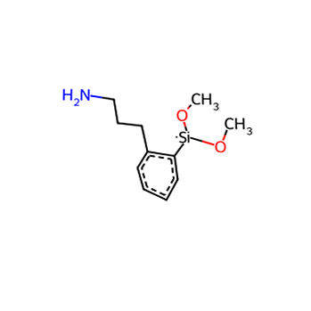 CO[Si](OC)c1ccccc1CCCN